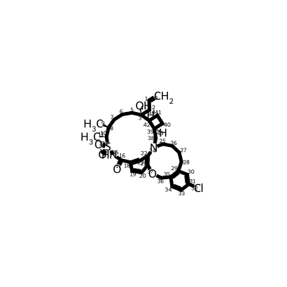 C=CC[C@]1(O)CCC[C@H](C)[C@@H](C)S(=O)(=O)NC(=O)c2ccc3c(c2)N(CCCCc2cc(Cl)ccc2CO3)C[C@@H]2CC[C@H]21